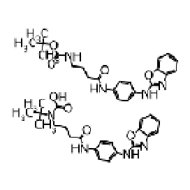 CC(C)(C)N(CCCC(=O)Nc1ccc(Nc2nc3ccccc3o2)cc1)C(=O)O.CC(C)(C)OC(=O)NCCCC(=O)Nc1ccc(Nc2nc3ccccc3o2)cc1